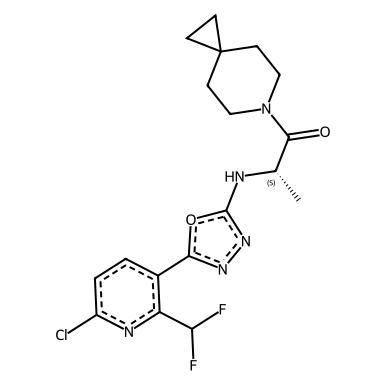 C[C@H](Nc1nnc(-c2ccc(Cl)nc2C(F)F)o1)C(=O)N1CCC2(CC1)CC2